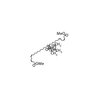 COC(=O)C/C=C\C/C=C\CCCCCCCCC(CCCCCCCC/C=C\C/C=C\CC(=O)OC)OC(=O)CC(C)(C)CC(C)(C)CN(C)C